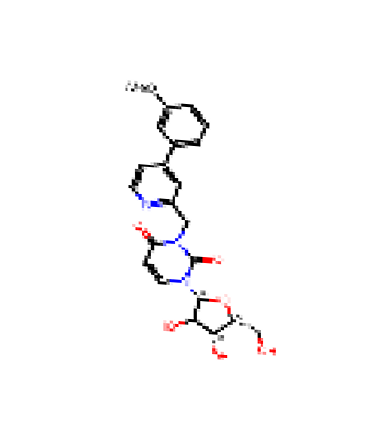 COc1cccc(-c2ccnc(Cn3c(=O)ccn([C@@H]4O[C@H](CO)[C@H](O)C4O)c3=O)c2)c1